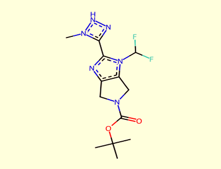 Cn1[nH]nc1-c1nc2c(n1C(F)F)CN(C(=O)OC(C)(C)C)C2